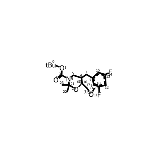 CC(C)(C)OC(=O)N1CC(Cc2cc(F)cc(F)c2)[C@@H]([C@@H]2CO2)OC1(C)C